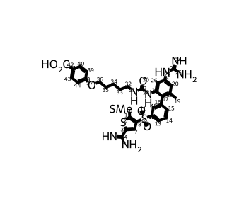 CSc1sc(C(=N)N)cc1S(=O)(=O)c1cccc(-c2c(C)cc(NC(=N)N)cc2NC(=O)NCCCCCOc2ccc(C(=O)O)cc2)c1